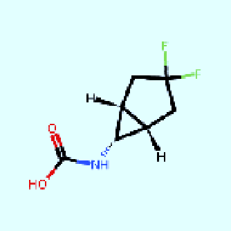 O=C(O)N[C@@H]1[C@@H]2CC(F)(F)C[C@@H]21